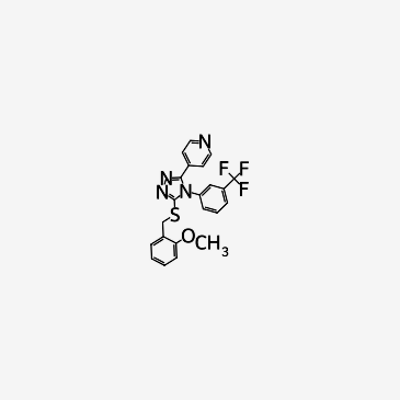 COc1ccccc1CSc1nnc(-c2ccncc2)n1-c1cccc(C(F)(F)F)c1